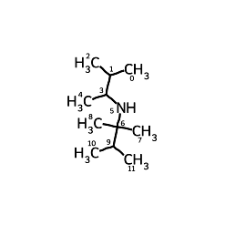 CC(C)C(C)NC(C)(C)C(C)C